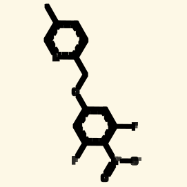 Cc1ccc(COc2cc(F)c([N+](=O)[O-])c(F)c2)nc1